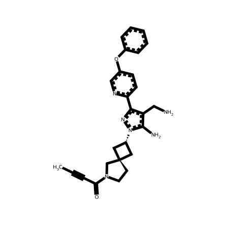 CC#CC(=O)N1CC[C@]2(C1)C[C@@H](n1nc(-c3ccc(Oc4ccccc4)cn3)c(CN)c1N)C2